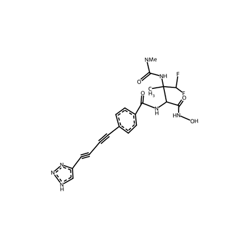 CNC(=O)NC(C)(C(F)F)C(NC(=O)c1ccc(C#CC#Cc2c[nH]nn2)cc1)C(=O)NO